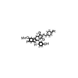 COc1cc2c3c([nH]c2cc1F)[C@@H](c1cccc(O)c1)N1C(=O)N(CCN2CCN(C(C)=O)CC2)C(=O)[C@]1(C)C3